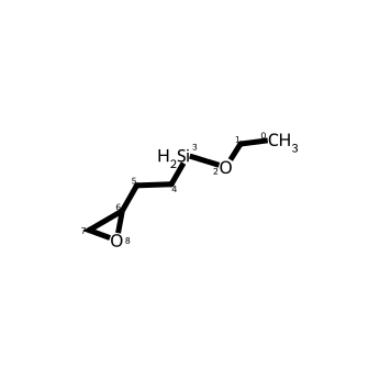 CCO[SiH2]CCC1CO1